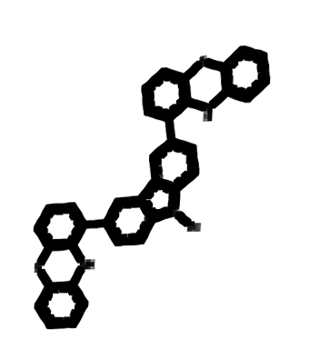 CC(=O)n1c2ccc(-c3cccc4c3Nc3ccccc3S4)cc2c2cc(-c3cccc4c3Nc3ccccc3S4)ccc21